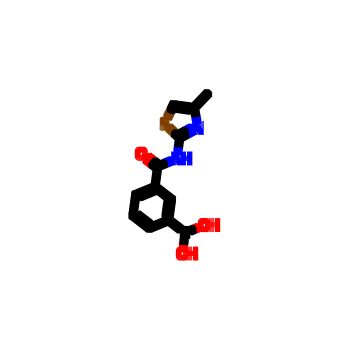 Cc1csc(NC(=O)c2cccc(B(O)O)c2)n1